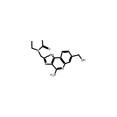 CCN(Cc1nc2c(N)nc3cc(CO)ccc3c2[nH]1)C(C)=O